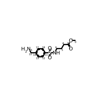 COC(=O)CCCNS(=O)(=O)c1ccc(CN)cc1